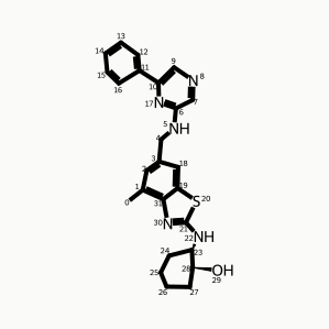 Cc1cc(CNc2cncc(-c3ccccc3)n2)cc2sc(N[C@H]3CCCC[C@@H]3O)nc12